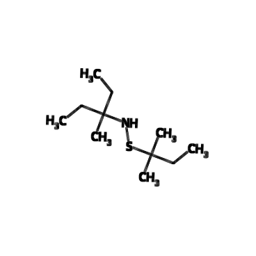 CCC(C)(CC)NSC(C)(C)CC